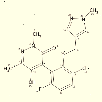 Cc1nn(C)c(=O)c(-c2c(F)ccc(Cl)c2CCc2cnn(C)c2)c1O